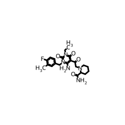 CCn1c(=O)c(C(=O)CN2CCCCC2C(N)=O)c(N)n(Cc2ccc(F)c(C)c2)c1=O